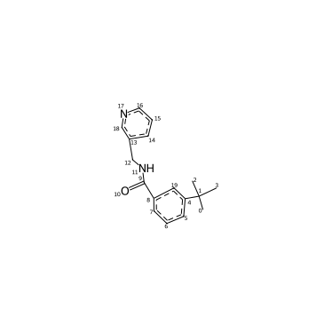 CC(C)(C)c1cccc(C(=O)NCc2cccnc2)c1